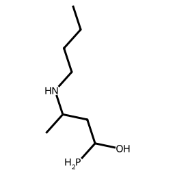 CCCCNC(C)CC(O)P